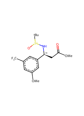 COC(=O)C[C@H](N[S+]([O-])C(C)(C)C)c1cc(OC)cc(C(F)(F)F)c1